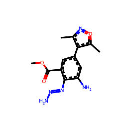 COC(=O)c1cc(-c2c(C)noc2C)cc(N)c1N=NN